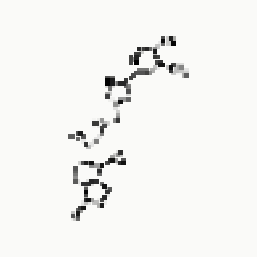 Cc1cc(-n2cc(CNCC(O)c3ccc4c(c3C3CC3)COC4=O)cn2)ncc1C#N